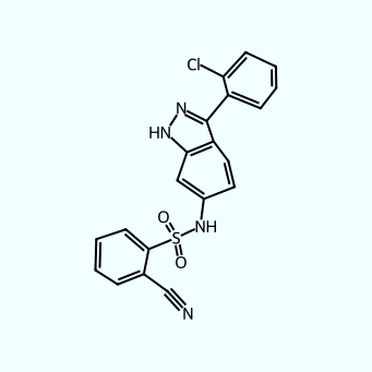 N#Cc1ccccc1S(=O)(=O)Nc1ccc2c(-c3ccccc3Cl)n[nH]c2c1